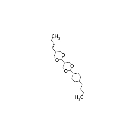 CC/C=C/C1COC(C2COC(C3CCC(CCCC)CC3)OC2)OC1